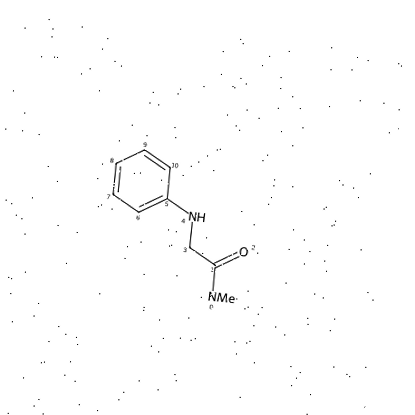 C[N]C(=O)CNc1ccccc1